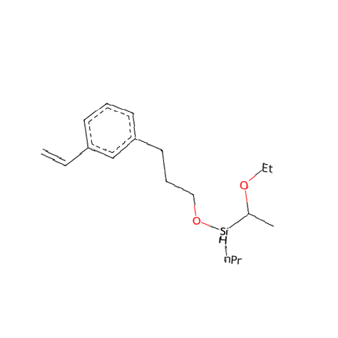 C=Cc1cccc(CCCO[SiH](CCC)C(C)OCC)c1